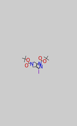 CC(C)(C)OC(=O)N1Cc2c(I)nn(C(=O)OC(C)(C)C)c2C1